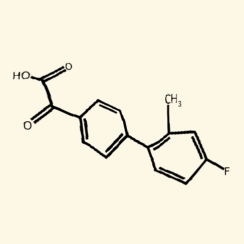 Cc1cc(F)ccc1-c1ccc(C(=O)C(=O)O)cc1